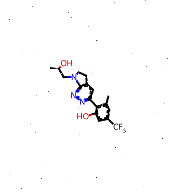 Cc1cc(C(F)(F)F)cc(O)c1-c1cc2c(nn1)N(C[C@@H](C)O)CC2